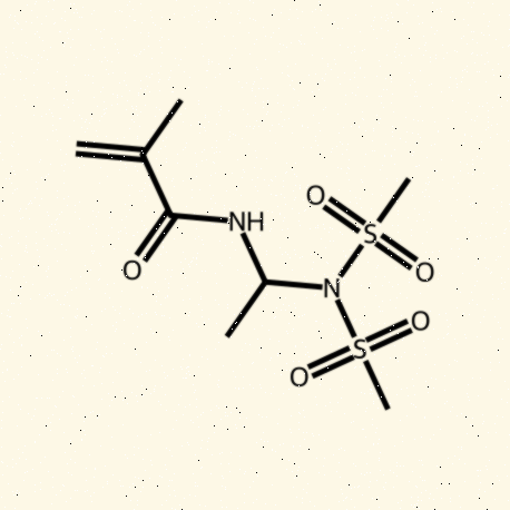 C=C(C)C(=O)NC(C)N(S(C)(=O)=O)S(C)(=O)=O